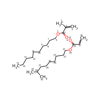 C=C(C)C(=O)OCCCCCCCCCC.C=CC(=O)OCCCCCCCC(C)C